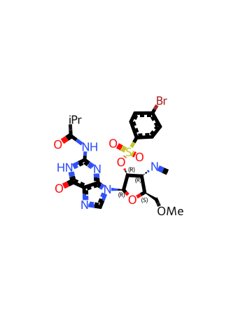 C=N[C@H]1[C@@H](OS(=O)(=O)c2ccc(Br)cc2)[C@H](n2cnc3c(=O)[nH]c(NC(=O)C(C)C)nc32)O[C@@H]1COC